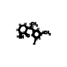 Cc1cc(I)cc(N(C)C2CCCN(S)C2=O)c1